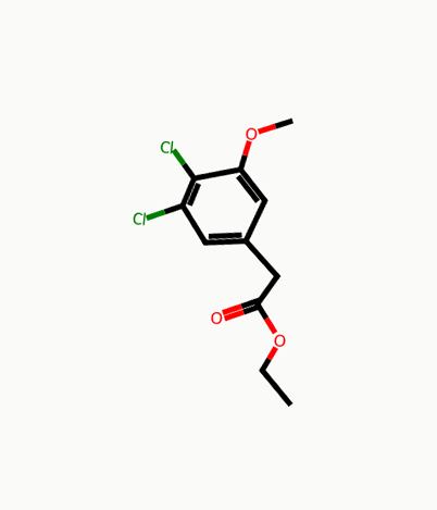 CCOC(=O)Cc1cc(Cl)c(Cl)c(OC)c1